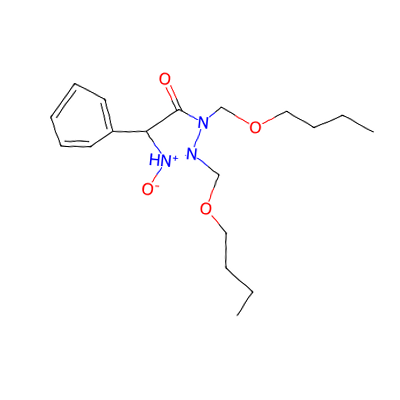 CCCCOCN1C(=O)C(c2ccccc2)[NH+]([O-])N1COCCCC